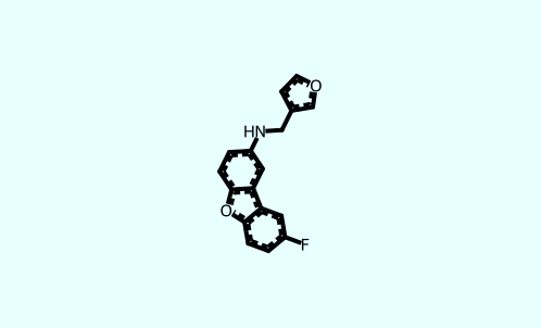 Fc1ccc2oc3ccc(NCc4ccoc4)cc3c2c1